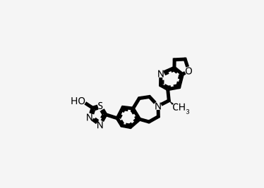 C[C@@H](c1cnc2c(c1)OCC2)N1CCc2ccc(-c3nnc(O)s3)cc2CC1